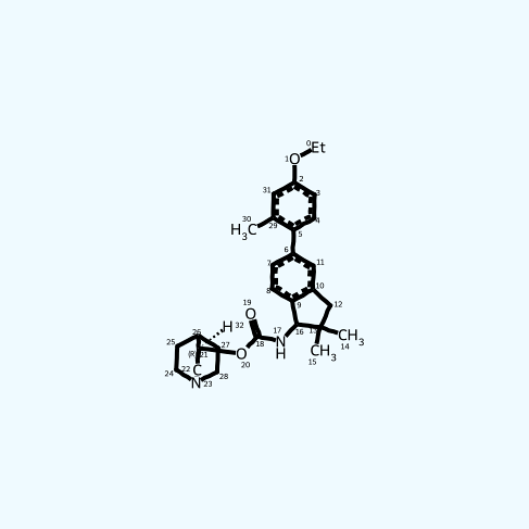 CCOc1ccc(-c2ccc3c(c2)CC(C)(C)C3NC(=O)O[C@H]2CN3CCC2CC3)c(C)c1